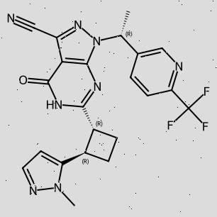 C[C@H](c1ccc(C(F)(F)F)nc1)n1nc(C#N)c2c(=O)[nH]c([C@@H]3CC[C@H]3c3ccnn3C)nc21